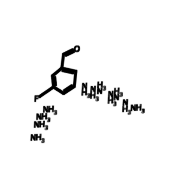 N.N.N.N.N.N.N.N.N.N.N.O=Cc1cccc(F)c1